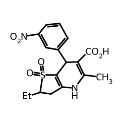 CCC1CC2=C(C(c3cccc([N+](=O)[O-])c3)C(C(=O)O)=C(C)N2)S1(=O)=O